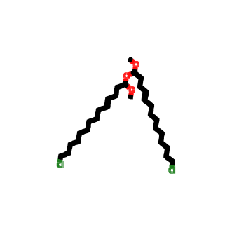 COC(CCC=CCCCCCCCCCCl)OC(CCC=CCCCCCCCCCCl)OC